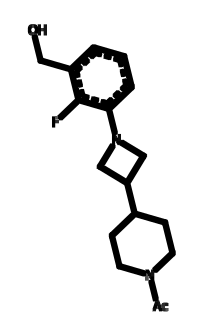 CC(=O)N1CCC(C2CN(c3cccc(CO)c3F)C2)CC1